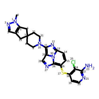 Cn1ncc2c1CC1(CCN(c3nc4ccc(Sc5ccnc(N)c5Cl)c5ncc3n45)CC1)C2